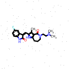 Cc1c(C=C2C(=O)Nc3ccc(F)cc32)[nH]c2c1C(=O)N(CCN(C)C)CCC2